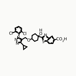 O=C(O)c1ccc2sc(C3(O)CCC(OCc4c(C5CC5)nnn4-c4c(Cl)cccc4Cl)CC3)nc2c1